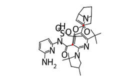 CC1CN(c2nc(C(C)(C)C)c(C3=CC4CCC(C3)N4C(=O)OC(C)(C)C)cc2C(=O)N(c2cccc(N)n2)[SH](=O)=O)C(C)(C)C1